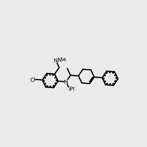 CNCc1cc(Cl)ccc1N(C(C)C)C(C)C1CC=C(c2ccccc2)CC1